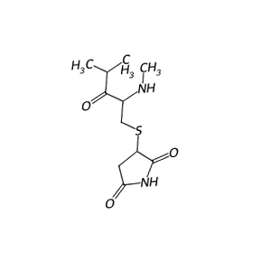 CNC(CSC1CC(=O)NC1=O)C(=O)C(C)C